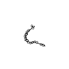 C=COCOCCCCOCOc1ccc(OCOc2ccc(OCOc3ccc(OCOCCCCOC(=O)C=C)cc3)c(C)c2)cc1